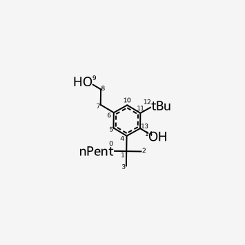 CCCCCC(C)(C)c1cc(CCO)cc(C(C)(C)C)c1O